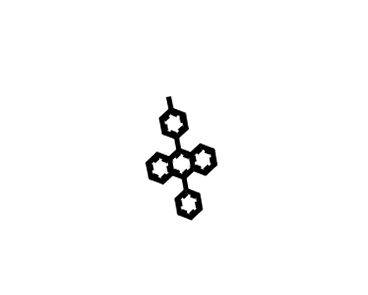 Cc1ccc(-c2c3ccccc3c(-c3ccccc3)c3ccccc23)cc1